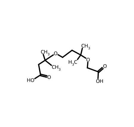 CC(C)(CCOC(C)(C)CC(=O)O)OCC(=O)O